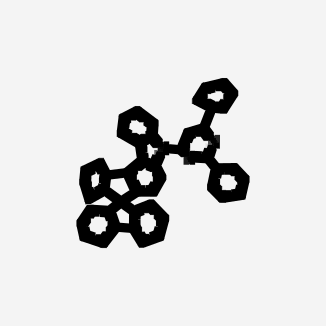 c1ccc(-c2cc(-n3c4ccccc4c4c5c(ccc43)C3(c4ccccc4-c4ccccc43)c3ccccc3-5)nc(-c3ccccc3)n2)cc1